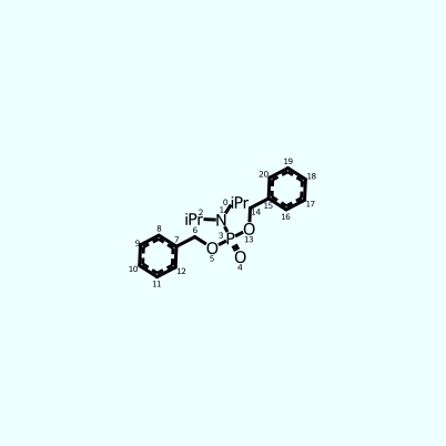 CC(C)N(C(C)C)P(=O)(OCc1ccccc1)OCc1ccccc1